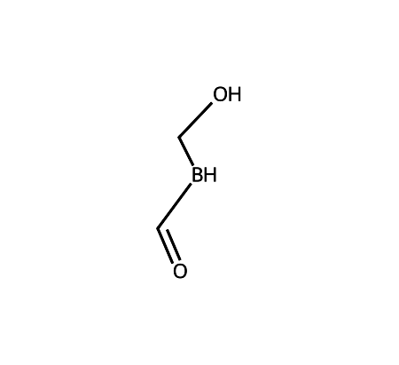 O=CBCO